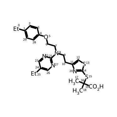 CCc1ccc(OCCN(CCc2csc(SC(C)(C)C(=O)O)n2)c2ncc(CC)cn2)cc1